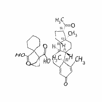 CC(=O)[C@H]1CC[C@H]2[C@@H]3CCC4=CC(=O)C=C(C)[C@]4(C)[C@H]3CC[C@]12C.O=C(O)C1(C2(C(=O)O)CC2)CCCCC1